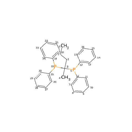 CCCC(C)(P(c1ccccc1)c1ccccc1)P(c1ccccc1)c1ccccc1